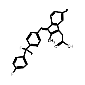 CC1=C(CC(=O)O)c2cc(F)ccc2C1=Cc1ccc(C(F)(F)c2ccc(F)cc2)cc1